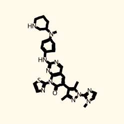 Cc1nn(-c2nccn2C)c(C)c1-c1cc2cnc(Nc3ccc(N(C)C4CCCNC4)cc3)nc2n(-c2nccs2)c1=O